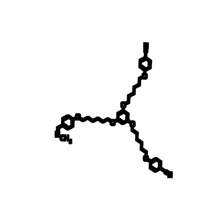 C/N=C\c1ccc(OCCCCCCOc2cc(OCCCCCCOc3ccc(C#N)cc3)cc(OCCCCCCOc3ccc(C#N)cc3)c2)cc1